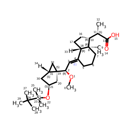 CO[C@H](/C=C1\CCC[C@]2(C)[C@@H]([C@H](C)C(=O)O)CC[C@@H]12)[C@@]12C[C@@H](O[Si](C)(C)C(C)(C)C)C[C@@H]1C2